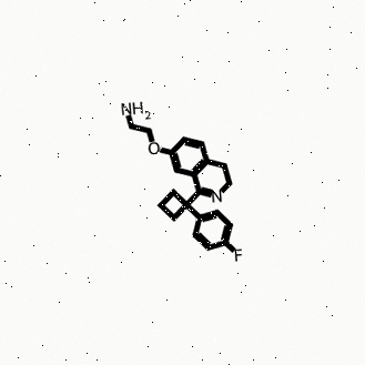 NCCOc1ccc2c(c1)C(C1(c3ccc(F)cc3)CCC1)=NCC2